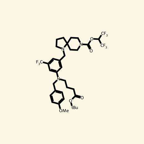 COc1ccc(CN(CCCC(=O)OC(C)(C)C)c2cc(CN3CCCC34CCN(C(=O)OC(C(F)(F)F)C(F)(F)F)CC4)cc(C(F)(F)F)c2)cc1